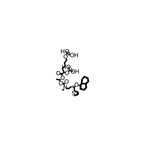 CC(OC(=O)C(CCCCON(O)O)ON(O)O)OC(=O)N(C)CC[C@H](Oc1cccc2ccccc12)c1cccs1